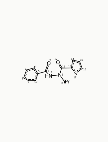 CC(C)N(NC(=O)c1ccccc1)C(=O)c1cccs1